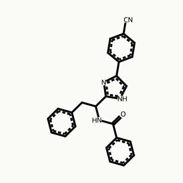 N#Cc1ccc(-c2c[nH]c(C(Cc3ccccc3)NC(=O)c3ccccc3)n2)cc1